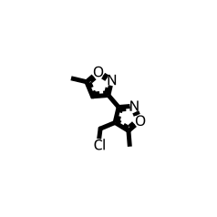 Cc1cc(-c2noc(C)c2CCl)no1